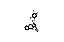 CNCc1cc(OCc2cc(F)c(F)cc2F)n(Cc2ccccc2C#N)n1